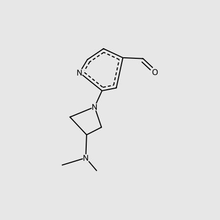 CN(C)C1CN(c2cc(C=O)ccn2)C1